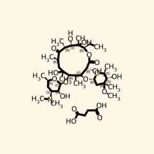 CC[C@H]1OC(=O)[C@H](C)[C@@H](O[C@H]2C[C@@](C)(OC)[C@@H](O)[C@H](C)O2)[C@@H](C)[C@@H](O[C@@H]2O[C@H](C)C[C@H](N(C)C)[C@H]2O)[C@](C)(O)C[C@@H](C)C(=O)[C@H](C)[C@H](O)[C@]1(C)O.O=C(O)CCC(=O)O